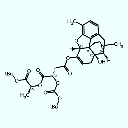 Cc1ccc2c3c1O[C@H]1C(OC(=O)C[C@H](OC(=O)OC(C)(C)C)C(=O)O[C@@H](C)C(=O)OC(C)(C)C)=CC[C@@]4(O)[C@@H](C2)N(C)CC[C@]314